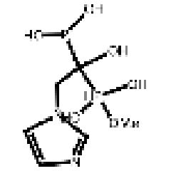 CO[PH](O)(O)C(O)(Cn1ccnc1)P(O)O